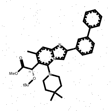 COC(=O)[C@@H](OC(C)(C)C)c1c(C)cc2nc(-c3cccc(-c4ccccc4)c3)cn2c1N1CCC(C)(C)CC1